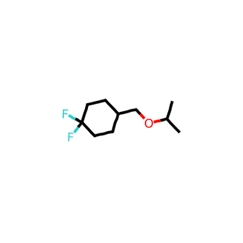 CC(C)OCC1CCC(F)(F)CC1